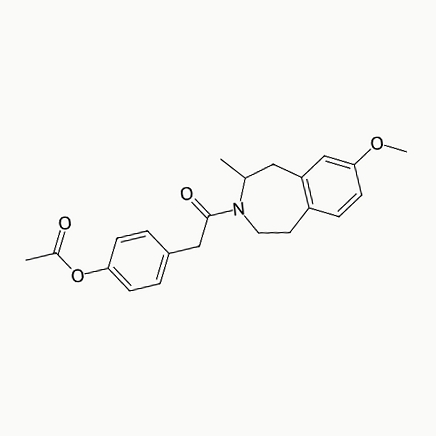 COc1ccc2c(c1)CC(C)N(C(=O)Cc1ccc(OC(C)=O)cc1)CC2